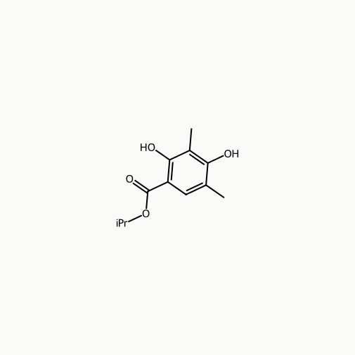 Cc1cc(C(=O)OC(C)C)c(O)c(C)c1O